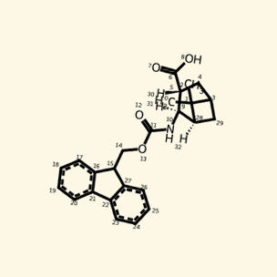 CC1(C)C2C[C@@H](C(=O)O)[C@H](NC(=O)OCC3c4ccccc4-c4ccccc43)[C@@H]1C2